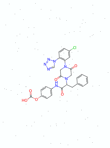 O=C(O)Oc1ccc(NC(=O)C(Cc2ccccc2)N2CC(=O)N(c3cc(Cl)ccc3-n3cnnn3)CC2=O)cc1